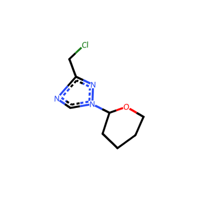 ClCc1ncn(C2CCCCO2)n1